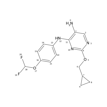 Nc1cnc(OCC2CC2)nc1Nc1ccc(OC(F)F)cc1